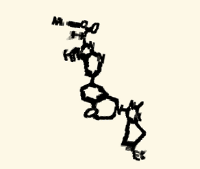 CC[C@H]1CCc2c(nc(C)nc2N2CCOc3ccc(-c4cnc5nc(NC(=O)OC)[nH]c5c4)cc3C2)C1